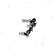 COC(=O)c1ccccc1-c1nc(Nc2cnn(C3CCN(C(=O)C(C)(C)O)CC3)c2)ncc1C